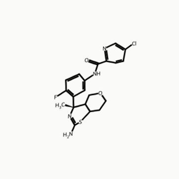 C[C@]1(c2cc(NC(=O)c3ccc(Cl)cn3)ccc2F)N=C(N)SC2CCOCC21